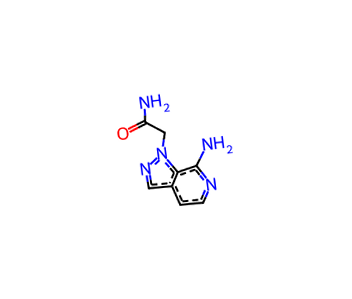 NC(=O)Cn1ncc2ccnc(N)c21